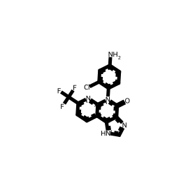 Nc1ccc(-n2c(=O)c3nc[nH]c3c3ccc(C(F)(F)F)nc32)c(Cl)c1